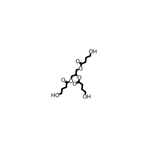 O=C(CCCO)OCC(COC(=O)CCCO)OC(=O)CCCO